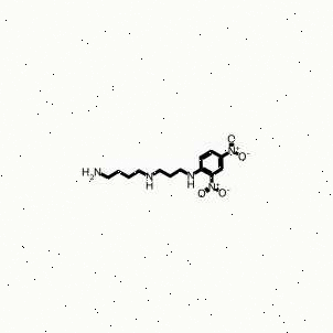 NCCCCNCCCNc1ccc([N+](=O)[O-])cc1[N+](=O)[O-]